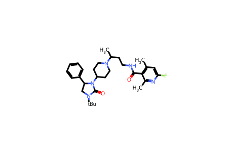 Cc1cc(F)nc(C)c1C(=O)NCCC(C)N1CCC(N2C(=O)N(C(C)(C)C)CC2c2ccccc2)CC1